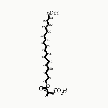 C=C(CC(=O)O)C(=O)OCCCCCCCCCCCCCCCCCCCCCCCCCCCC